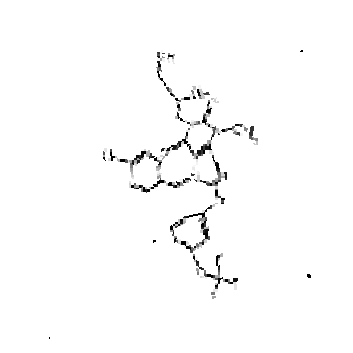 Cn1c(=O)n(CC(O)CO)c(=O)c2c1nc(Oc1cccc(OC(F)(F)F)c1)n2Cc1ccc(Cl)cc1